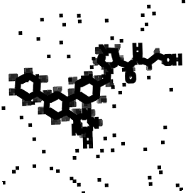 O=C(NCCO)c1cncn1Cc1ccc(-c2cc(-c3ccccc3)ccc2-c2nn[nH]n2)cc1